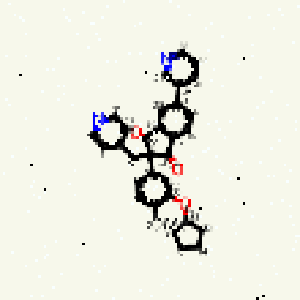 COc1ccc(C2(Cc3ccncc3)C(=O)c3ccc(-c4cccnc4)cc3C2=O)cc1OC1CCCC1